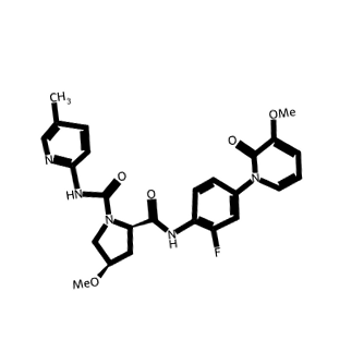 COc1cccn(-c2ccc(NC(=O)[C@H]3C[C@@H](OC)CN3C(=O)Nc3ccc(C)cn3)c(F)c2)c1=O